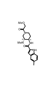 CN[C@@H]1CN(C(=O)COC)CC[C@H]1NC(=O)c1cc2cc(C)ccc2[nH]1